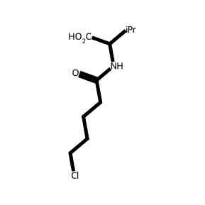 CC(C)C(NC(=O)CCCCCl)C(=O)O